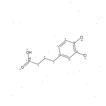 O=[PH](O)CCCc1ccc(Cl)c(Cl)c1